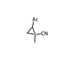 CC(=O)C1CS1(C)C#N